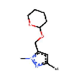 CCc1cc(COC2CCCCO2)n(C)n1